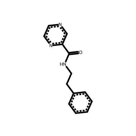 O=C(NCCc1ccccc1)c1cnccn1